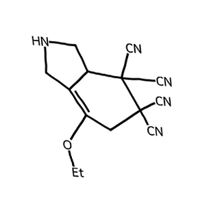 CCOC1=C2CNCC2C(C#N)(C#N)C(C#N)(C#N)C1